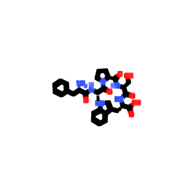 C[C@H](NC(=O)[C@@H](N)Cc1ccccc1)C(=O)N1CCC[C@H]1C(=O)N[C@@H](CO)C(=O)N[C@@H](Cc1c[nH]c2ccccc12)C(=O)O